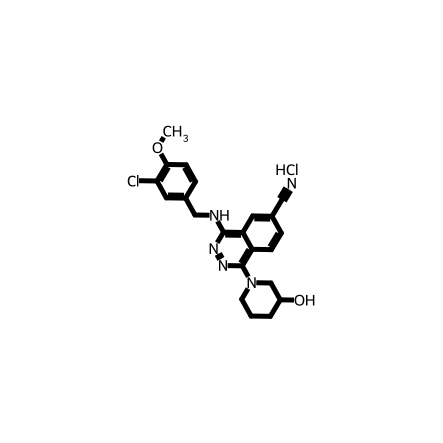 COc1ccc(CNc2nnc(N3CCCC(O)C3)c3ccc(C#N)cc23)cc1Cl.Cl